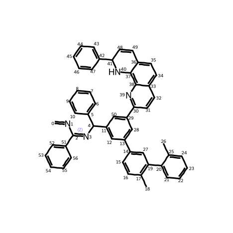 C=N/C(=N\C(c1ccccc1)c1cc(-c2ccc(C)c(-c3ccccc3C)c2)cc(-c2ccc3ccc4c(c3n2)NC(c2ccccc2)C=C4)c1)c1ccccc1